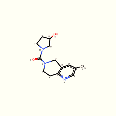 O=C(N1CCc2ncc(C(F)(F)F)cc2C1)N1CCC(O)C1